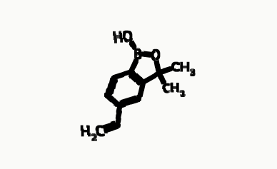 C=Cc1ccc2c(c1)C(C)(C)OB2O